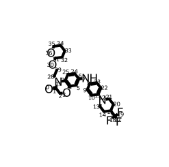 O=C1COc2cc(Nc3ccc(N4CCC(C(F)(F)F)CC4)cc3)ccc2N1CCOC1CCCCO1